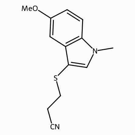 COc1ccc2c(c1)c(SCCC#N)cn2C